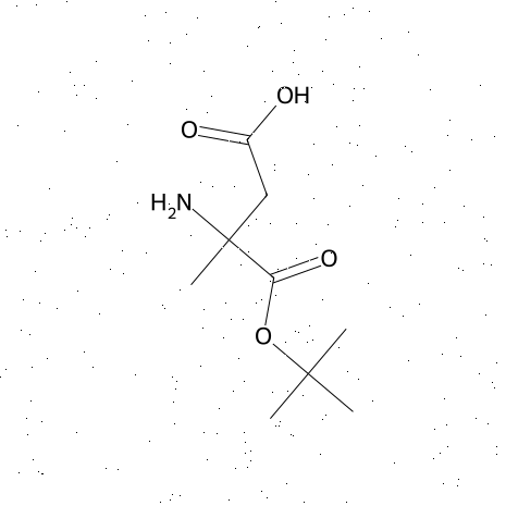 CC(C)(C)OC(=O)C(C)(N)CC(=O)O